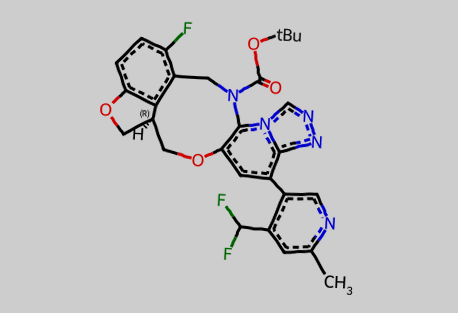 Cc1cc(C(F)F)c(-c2cc3c(n4cnnc24)N(C(=O)OC(C)(C)C)Cc2c(F)ccc4c2[C@H](CO4)CO3)cn1